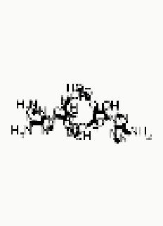 Nc1nc(N)c2ncn([C@@H]3O[C@@H]4COP(=O)(O)CO[C@H]5[C@@H](O)[C@H](n6cnc7c(N)ncnc76)O[C@@H]5COP(=O)(O)O[C@@H]3[C@@H]4F)c2n1